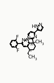 CC[C@@H]1CC[C@@](C)(c2nccc(-c3ccn[nH]3)n2)c2nnc(-c3c(F)cccc3F)cc21